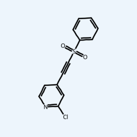 O=S(=O)(C#Cc1ccnc(Cl)c1)c1ccccc1